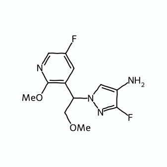 COCC(c1cc(F)cnc1OC)n1cc(N)c(F)n1